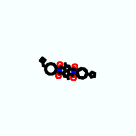 Cc1cc2c3c(c(C)cc4c3c1C(=O)N(c1ccccc(C3CCCC3)cccc1)C4=O)C(=O)N(C1CCCCCC(CC3CCC3)CCCC1)C2=O